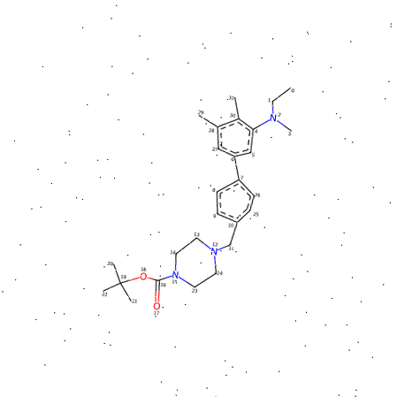 CCN(C)c1cc(-c2ccc(CN3CCN(C(=O)OC(C)(C)C)CC3)cc2)cc(C)c1C